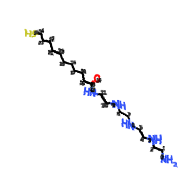 NCCNCCNCCNCCNC(=O)CCCCCCCCCCS